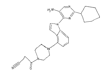 N#CCC(=O)N1CCN(c2cccc3c2ccn3-c2nc(C3CCCCC3)ncc2N)CC1